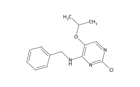 CC(C)Oc1cnc(Cl)nc1NCc1ccccc1